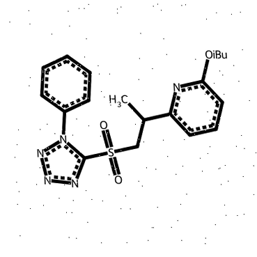 CC(C)COc1cccc(C(C)CS(=O)(=O)c2nnnn2-c2ccccc2)n1